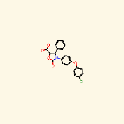 O=C(O)C1OC(=O)N(c2ccc(Oc3ccc(Cl)cc3)cc2)C1c1ccccc1